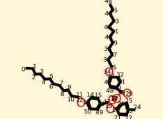 CCCCCCCCCCCCOc1ccc(C(=O)Oc2ccc(C)cc2OC(=O)c2ccc(OCCCCCCCCCCCC)cc2)cc1